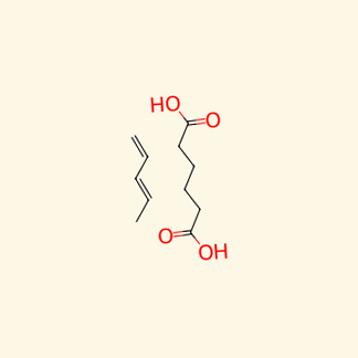 C=CC=CC.O=C(O)CCCCC(=O)O